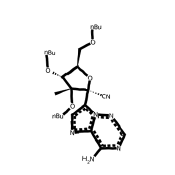 CCCCOC[C@H]1O[C@@](C#N)(c2cnc3c(N)ncnn23)[C@](C)(OCCCC)[C@@H]1OCCCC